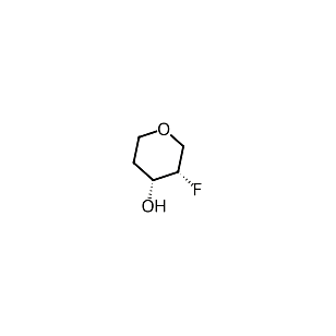 O[C@@H]1CCOC[C@@H]1F